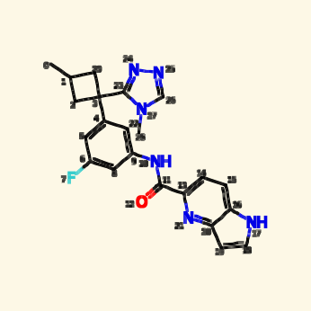 CC1CC(c2cc(F)cc(NC(=O)c3ccc4[nH]ccc4n3)c2)(c2nncn2C)C1